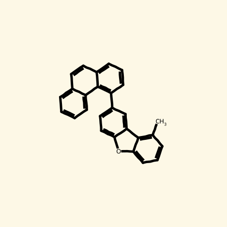 Cc1cccc2oc3ccc(-c4cccc5ccc6ccccc6c45)cc3c12